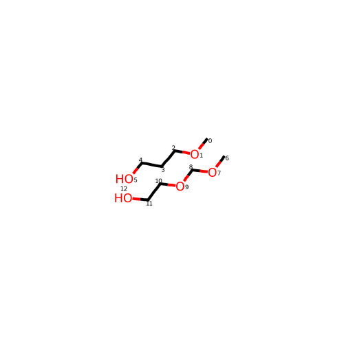 COCCCO.COCOCCO